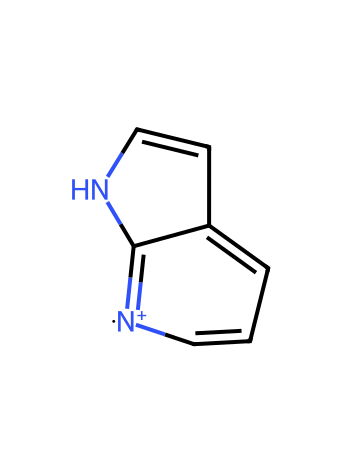 C1=C[N+]=c2[nH]ccc2=C1